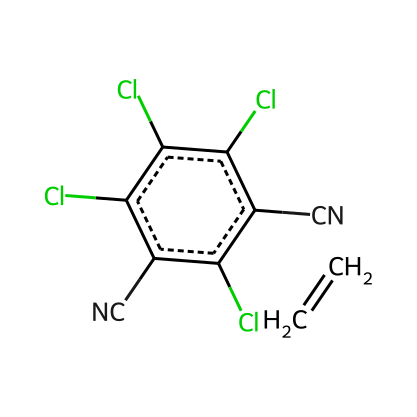 C=C.N#Cc1c(Cl)c(Cl)c(Cl)c(C#N)c1Cl